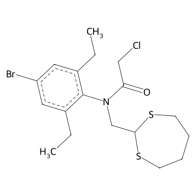 CCc1cc(Br)cc(CC)c1N(CC1SCCCCS1)C(=O)CCl